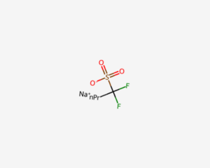 CCCC(F)(F)S(=O)(=O)[O-].[Na+]